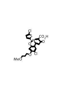 COCCCOc1cc2c(cc1Cl)-c1cc(=O)c(C(=O)O)cn1[C@H](c1ccc(Cl)s1)O2